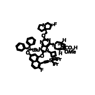 CO[C@@H]1C[C@@H]2CN(c3nc(OC[C@@]45CCCN4C[C@H](F)C5)nc4nc(Oc5cc(O[Si](c6ccccc6)(c6ccccc6)C(C)(C)C)cc6ccc(F)c(C#C[Si](C(C)C)(C(C)C)C(C)C)c56)n(C5CCC5)c34)C[C@H]1N2C(=O)O